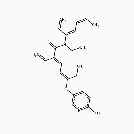 C=C/C(=C\C=C(/CC)Oc1ccc(C)nc1)C(=O)N(CC)/C(C=C)=C/C=C\C